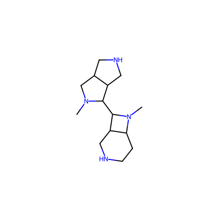 CN1CC2CNCC2C1C1C2CNCCC2N1C